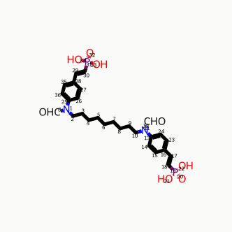 O=CN(CCCCCCCCCN(C=O)c1ccc(C=CP(=O)(O)O)cc1)c1ccc(C=CP(=O)(O)O)cc1